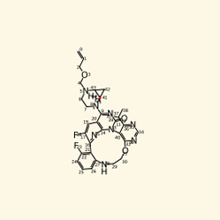 C=CCOCN1CCN(c2nc(=O)n3c4nc(c(F)cc24)-c2c(F)cccc2NCCOc2ncnc(C(C)C)c2-3)[C@@H]2C[C@@H]21